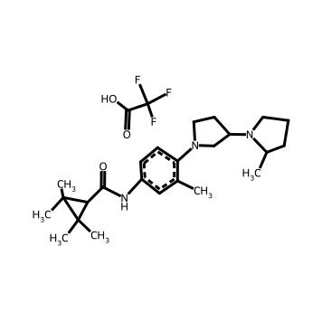 Cc1cc(NC(=O)C2C(C)(C)C2(C)C)ccc1N1CCC(N2CCCC2C)C1.O=C(O)C(F)(F)F